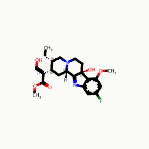 CC[C@@H]1CN2CC[C@@]3(O)C(=Nc4cc(F)cc(OC)c43)[C@@H]2C[C@@H]1/C(=C\O)C(=O)OC